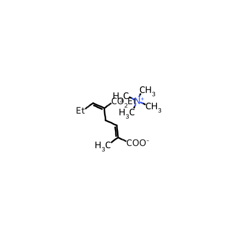 CCC=C(CC=C(C)C(=O)[O-])C(=O)OCC.C[N+](C)(C)C